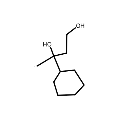 [CH2]C(O)(CCO)C1CCCCC1